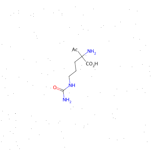 CC(=O)C(N)(CCCNC(N)=O)C(=O)O